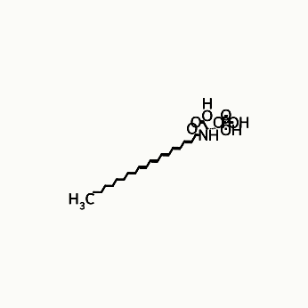 CCCCCCCCC/C=C/C=C/C=C/C=C/C=C/C(=O)N[C@@H](COP(=O)(O)O)C(=O)O